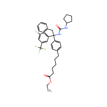 CCOC(=O)CCCCCc1ccc(C(Cc2ccccc2)(NC(=O)NC2CCCC2)c2cc(F)cc(C(F)(F)F)c2)cc1